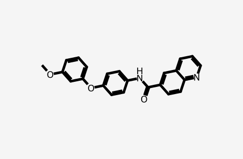 COc1cccc(Oc2ccc(NC(=O)c3ccc4ncccc4c3)cc2)c1